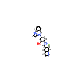 O[C@@H]1C[C@@H](NCc2ccccc2-n2cccn2)CC[C@@H]1NCc1cc2cccnc2cc1F